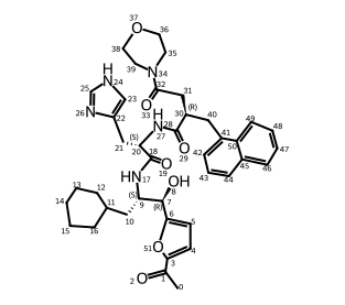 CC(=O)c1ccc([C@H](O)[C@H](CC2CCCCC2)NC(=O)[C@H](Cc2c[nH]cn2)NC(=O)[C@@H](CC(=O)N2CCOCC2)Cc2cccc3ccccc23)o1